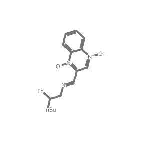 CCCCC(CC)CN=Cc1c[n+]([O-])c2ccccc2[n+]1[O-]